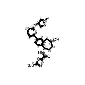 Cn1cc(Nc2nccc(-c3ccc4c(c3)C[C@@H](O)CC[C@@H]4NC(=O)c3nnc(C(C)(C)C)o3)n2)cn1